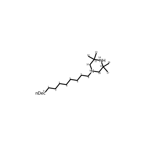 CCCCCCCCCCCCCCCCCCN1CC(C)(C)NC(C)(C)C1